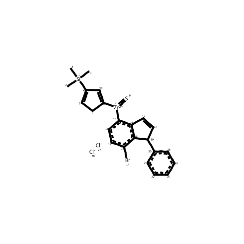 C[Si](C)(C)C1=CC[C]([Zr+2](=[S])[c]2ccc(Br)c3c2C=CC3c2ccccc2)=C1.[Cl-].[Cl-]